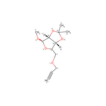 C#CCOCC1O[C@@H](OC)[C@@H]2OC(C)(C)O[C@H]12